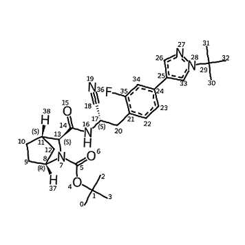 CC(C)(C)OC(=O)N1[C@@H]2CC[C@@H](C2)[C@H]1C(=O)N[C@H](C#N)Cc1ccc(-c2cnn(C(C)(C)C)c2)cc1F